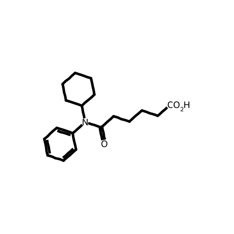 O=C(O)CCCCC(=O)N(c1ccccc1)C1CCCCC1